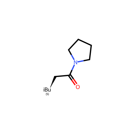 CC[C@H](C)CC(=O)N1CCCC1